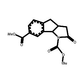 COC(=O)c1ccc2c(c1)C1C(CC(=O)N1C(=O)OC(C)(C)C)C2